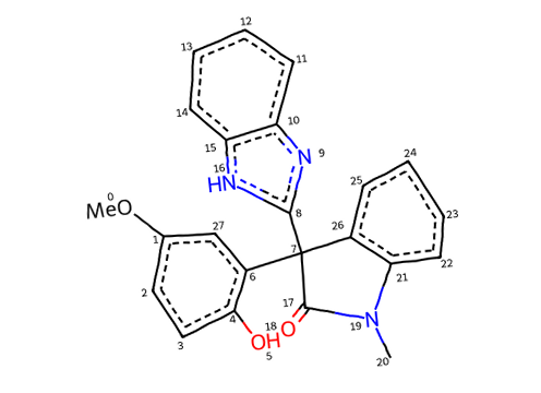 COc1ccc(O)c(C2(c3nc4ccccc4[nH]3)C(=O)N(C)c3ccccc32)c1